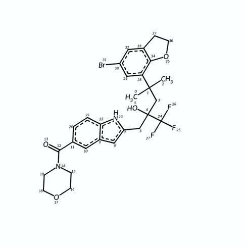 CC(C)(CC(O)(Cc1cc2cc(C(=O)N3CCOCC3)ccc2[nH]1)C(F)(F)F)c1cc(Br)cc2c1OCC2